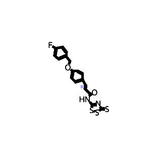 O=C(/C=C/c1ccc(OCc2ccc(F)cc2)cc1)Nc1nc(=S)ss1